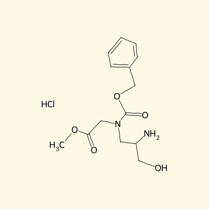 COC(=O)CN(CC(N)CO)C(=O)OCc1ccccc1.Cl